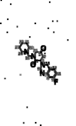 O=C1CC(N2C=Nc3cc(F)ccc3C2)C(=O)N(CN2CCCCC2)C1